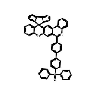 O=P(c1ccccc1)(c1ccccc1)c1ccc(-c2ccc(-c3nc4ccccc4c4cc5c(cc34)Oc3ccccc3C53c4ccccc4-c4ccccc43)cc2)cc1